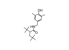 Cc1cc(CNC(=O)C(CC(C)(C)C)C(C)(C)C)cc(C)c1O